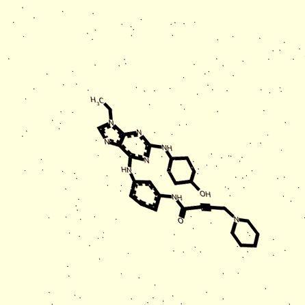 CCn1cnc2c(Nc3cccc(NC(=O)C#CCN4CCCCC4)c3)nc(NC3CCC(O)CC3)nc21